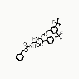 O=C(CNC(=O)OCc1ccccc1)N[C@H](COCc1cc(C(F)(F)F)cc(C(F)(F)F)c1)C(=O)c1ccccc1